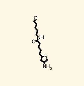 NC1CSC(CCCCC(=O)NCCCCC=O)C1